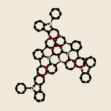 c1ccc(-c2cccc(-c3ccccc3)c2N2c3cc(-c4ccc5c(c4)c4ccccc4n5-c4ccccc4)ccc3B3c4ccc(-n5c6ccccc6c6ccccc65)cc4N(c4c(-c5ccccc5)cccc4-c4ccccc4)c4cc(-c5ccc6c(c5)c5ccccc5n6-c5ccccc5)cc2c43)cc1